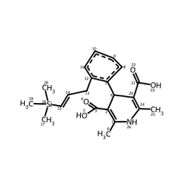 CC1=C(C(=O)O)C(c2ccccc2CC=C[Si](C)(C)C)C(C(=O)O)=C(C)N1